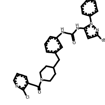 Cc1ccc(-n2nc(C(C)(C)C)cc2NC(=O)Nc2cccc(CC3CCN(C(=O)c4cccnc4Cl)CC3)c2)cc1